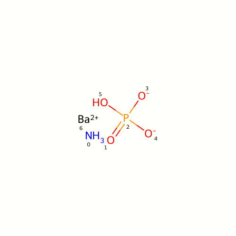 N.O=P([O-])([O-])O.[Ba+2]